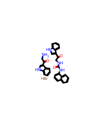 Br.NCC(=O)c1c[nH]c2ccccc12.O=C(NCC(=O)c1c[nH]c2ccccc12)Nc1cccc2ccccc12